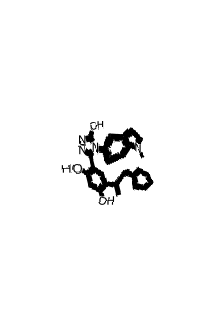 CC(Cc1c[c]ccc1)c1cc(-c2nnc(O)n2-c2ccc3c(ccn3C)c2)c(O)cc1O